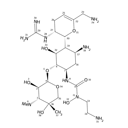 CN[C@@H]1[C@@H](O)[C@@H](O[C@H]2[C@H](NC(=O)N(O)CCN)C[C@H](N)C([C@H]3OC(CN)=CC[C@H]3NC(=N)N)[C@@H]2O)OC[C@]1(C)O